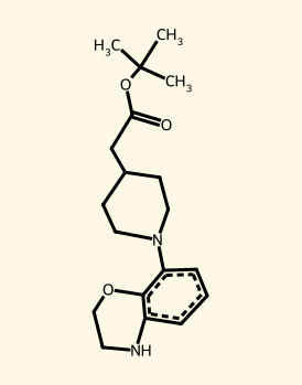 CC(C)(C)OC(=O)CC1CCN(c2cccc3c2OCCN3)CC1